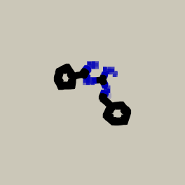 N=C(NC(N)/N=C/c1ccccc1)c1ccccc1